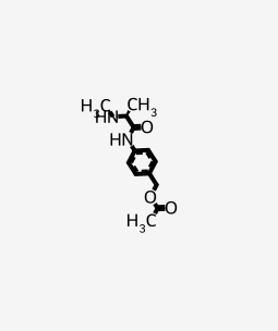 CN[C@@H](C)C(=O)Nc1ccc(COC(C)=O)cc1